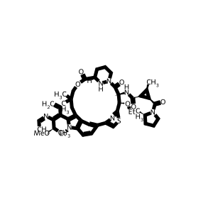 C=C/C(=C(\N=C/C)[C@H](C)OC)c1c2c3cc(ccc3n1CC)-c1csc(n1)[C@@H](OCC)[C@H](NC(=O)[C@@H]1[C@@H](C)[C@H]1C(=O)N1CCC[C@@H]1C)C(=O)N1CCC[C@H](N1)C(=O)OCC(C)(C)C2